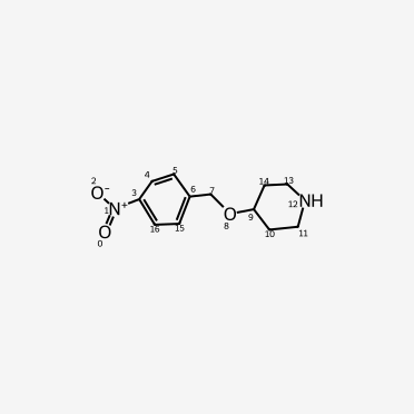 O=[N+]([O-])c1ccc(COC2CCNCC2)cc1